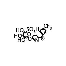 O=C(c1ccc(C(F)(F)F)cc1)c1ccc(O[C@@H]2OC(S(=O)(=O)O)[C@@H](O)[C@H](O)[C@H]2O)cn1